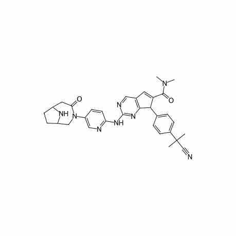 CN(C)C(=O)C1=Cc2cnc(Nc3ccc(N4CC5CCC(CC4=O)N5)cn3)nc2C1c1ccc(C(C)(C)C#N)cc1